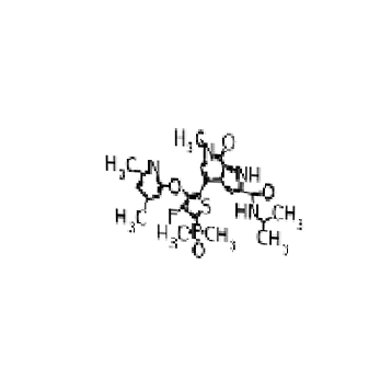 Cc1cc(C)nc(Oc2c(-c3cn(C)c(=O)c4[nH]c(C(=O)NC(C)C)cc34)sc(P(C)(C)=O)c2F)c1